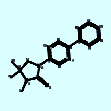 CN1C(=O)N(c2cnc(-c3ccccc3)cn2)CC1(C)C